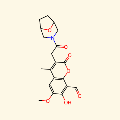 COc1cc2c(C)c(CC(=O)N3CC4CCC(C3)O4)c(=O)oc2c(C=O)c1O